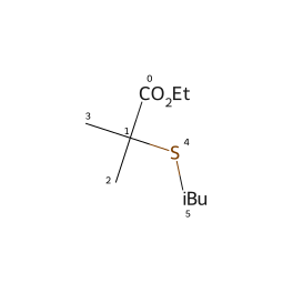 CCOC(=O)C(C)(C)SC(C)CC